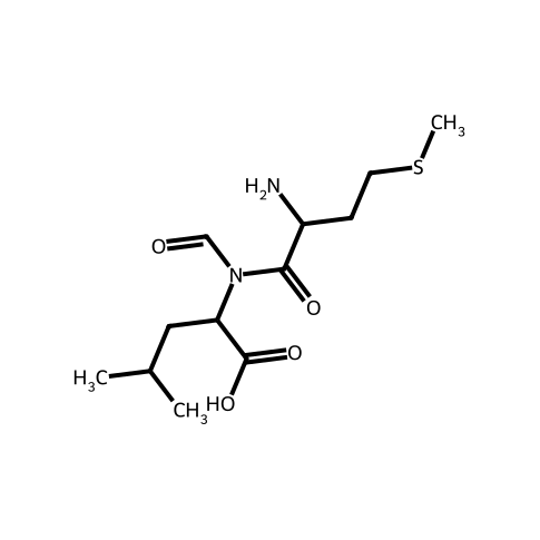 CSCCC(N)C(=O)N(C=O)C(CC(C)C)C(=O)O